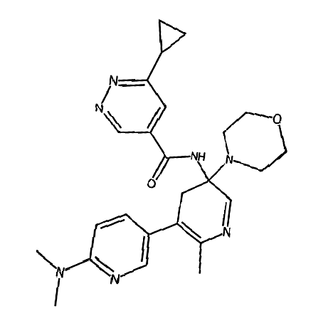 CC1=C(c2ccc(N(C)C)nc2)CC(NC(=O)c2cnnc(C3CC3)c2)(N2CCOCC2)C=N1